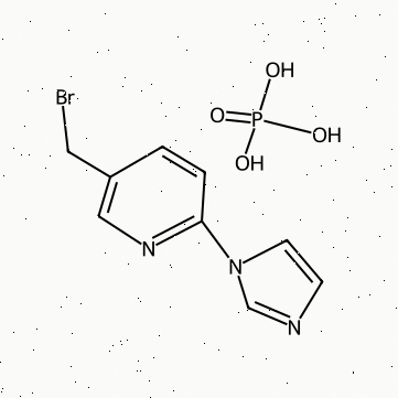 BrCc1ccc(-n2ccnc2)nc1.O=P(O)(O)O